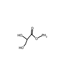 O=C(OP)C(O)CO